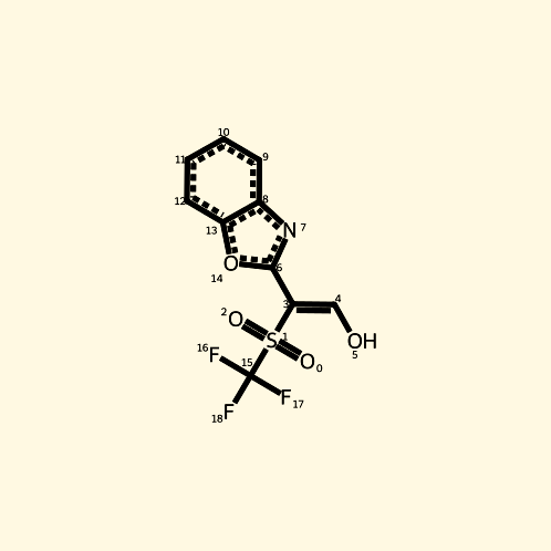 O=S(=O)(/C(=C\O)c1nc2ccccc2o1)C(F)(F)F